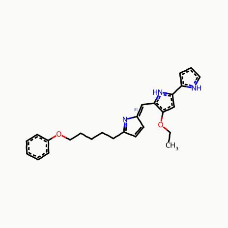 CCOc1cc(-c2ccc[nH]2)[nH]c1/C=C1\C=CC(CCCCCOc2ccccc2)=N1